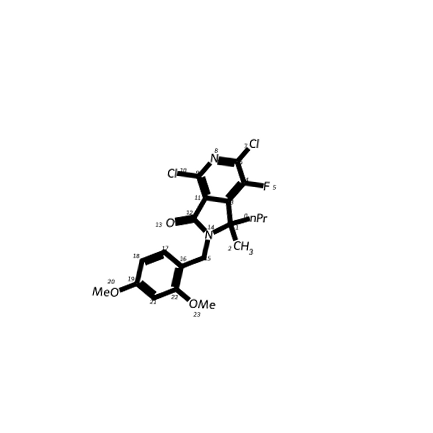 CCCC1(C)c2c(F)c(Cl)nc(Cl)c2C(=O)N1Cc1ccc(OC)cc1OC